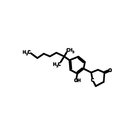 CCCCCC(C)(C)c1ccc(C2CCCC(=O)C2)c(O)c1